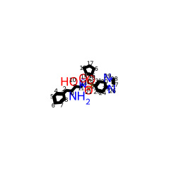 N[C@@H](Cc1ccccc1)[C@H](O)CN(OC1CCCC1)S(=O)(=O)c1ccc2nccnc2c1